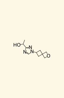 CC(O)c1ncn(C2CC3(COC3)C2)n1